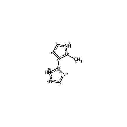 Cc1[nH]ccc1-c1ncn[nH]1